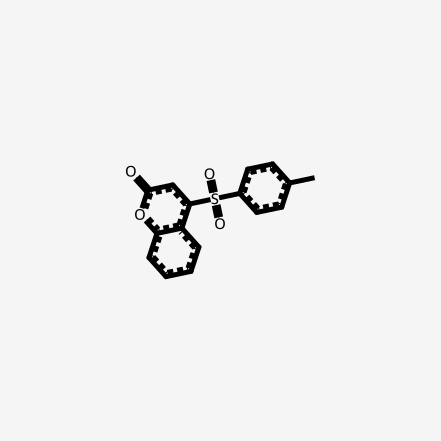 Cc1ccc(S(=O)(=O)c2cc(=O)oc3ccccc23)cc1